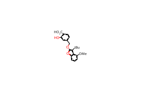 COc1cccc2oc(OCc3ccc(C(=O)O)c(O)c3)c(C(C)(C)C)c12